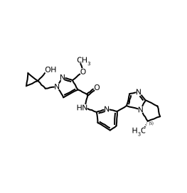 COc1nn(CC2(O)CC2)cc1C(=O)Nc1cccc(-c2cnc3n2[C@@H](C)CC3)n1